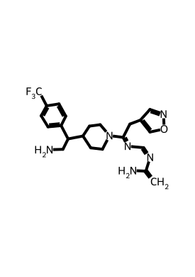 C=C(N)/N=C\N=C(/Cc1cnoc1)N1CCC(C(CN)c2ccc(C(F)(F)F)cc2)CC1